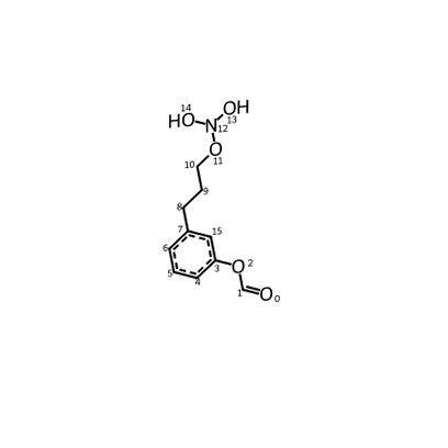 O=COc1cccc(CCCON(O)O)c1